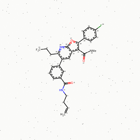 C=CCCNC(=O)c1cccc(-c2cc3c(C(=O)NC)c(-c4ccc(F)cc4)oc3nc2CCC(F)(F)F)c1